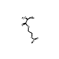 CCCCC(C(=O)OCCO[SH](=O)=O)C(F)(F)F